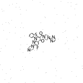 CN1CCN(c2nc3c(cc2F)c(=O)c(C(=O)N2CCN(c4ncccn4)CC2)c2sc4ccccc4n23)CC1